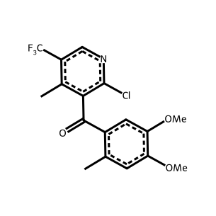 COc1cc(C)c(C(=O)c2c(Cl)ncc(C(F)(F)F)c2C)cc1OC